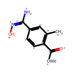 COC(=O)c1ccc(/C(N)=N\O)cc1C